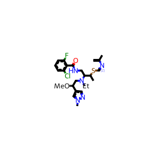 C=C(C)/N=C\SC(C)C(CNC(=O)c1c(F)cccc1Cl)N(CC)CC(OC)c1cnn(C)c1